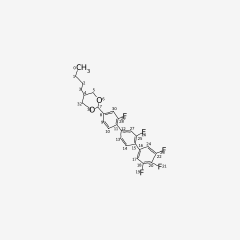 CCCCC1COC(c2ccc(-c3ccc(-c4cc(F)c(F)c(F)c4)c(F)c3)c(F)c2)OC1